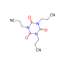 N#CCCn1c(=O)n(CCC#N)c(=O)n(CCC#N)c1=O